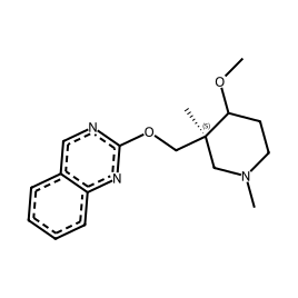 COC1CCN(C)C[C@@]1(C)COc1ncc2ccccc2n1